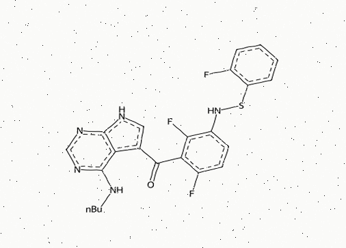 CCCCNc1ncnc2[nH]cc(C(=O)c3c(F)ccc(NSc4ccccc4F)c3F)c12